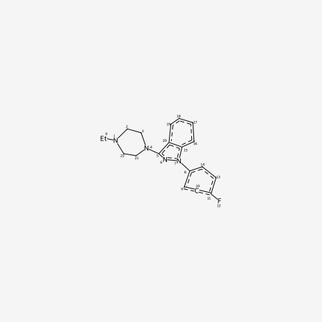 CCN1CCN(c2nn(-c3ccc(F)cc3)c3ccccc23)CC1